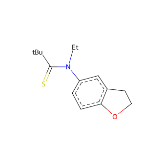 CCN(C(=S)C(C)(C)C)c1ccc2c(c1)CCO2